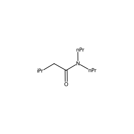 CCCN(CCC)C(=O)CC(C)C